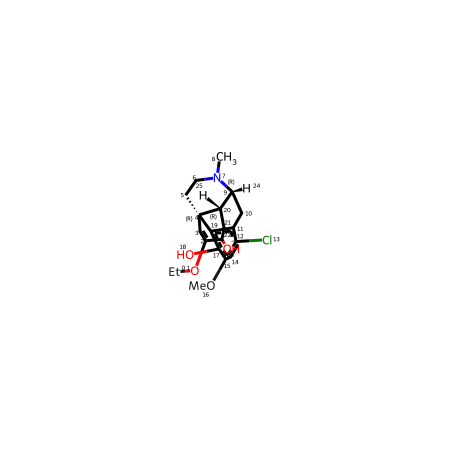 CCOC1=C[C@]23CCN(C)[C@H](Cc4c(Cl)cc(OC)c(O)c42)[C@@H]3CC1O